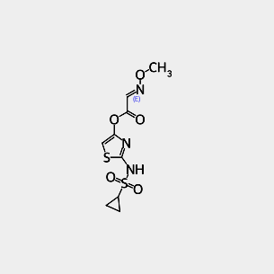 CO/N=C/C(=O)Oc1csc(NS(=O)(=O)C2CC2)n1